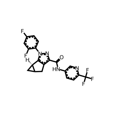 O=C(Nc1ccc(C(F)(F)F)nc1)c1nn(-c2ccc(F)cc2F)c2c1CC1C[C@@H]21